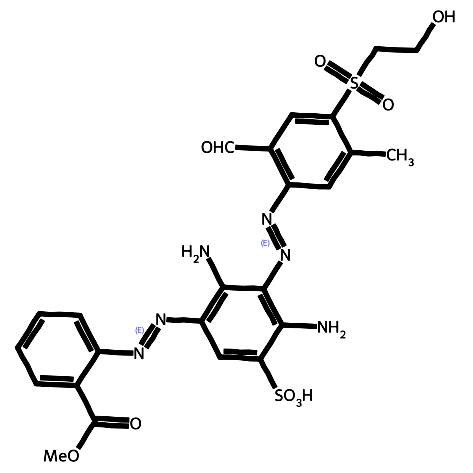 COC(=O)c1ccccc1/N=N/c1cc(S(=O)(=O)O)c(N)c(/N=N/c2cc(C)c(S(=O)(=O)CCO)cc2C=O)c1N